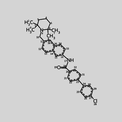 CC1(C)CCCC(C)(C)N1Cc1ccc2cc(NC(=O)c3ccc(-c4ccc(Cl)cc4)cc3)ccc2c1